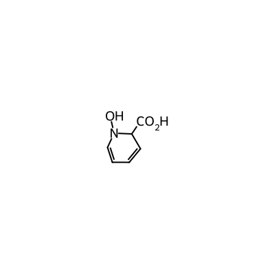 O=C(O)C1C=CC=CN1O